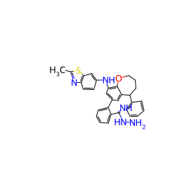 Cc1nc2ccc(Nc3cc(-c4ccccc4C(=N)NN)cc4c3OCCCC4c3ccccc3)cc2s1